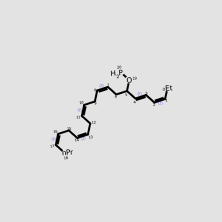 CC/C=C\C=C\C(C/C=C\C/C=C\C/C=C\C/C=C\CCC)OP